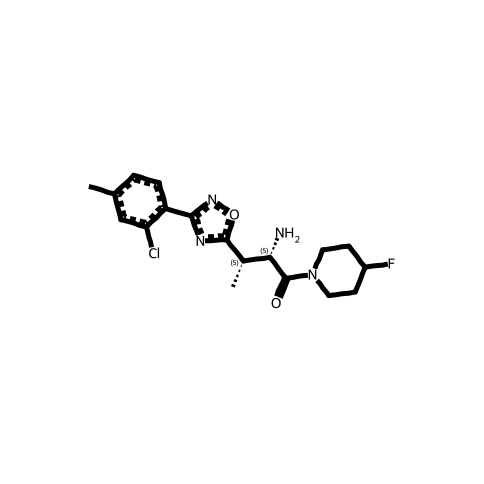 Cc1ccc(-c2noc([C@@H](C)[C@H](N)C(=O)N3CCC(F)CC3)n2)c(Cl)c1